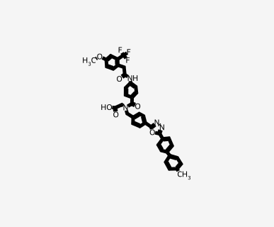 COc1ccc(CC(=O)Nc2ccc(C(=O)N(CC(=O)O)Cc3ccc(-c4nnc(-c5ccc(-c6ccc(C)cc6)cc5)o4)cc3)cc2)c(C(F)(F)F)c1